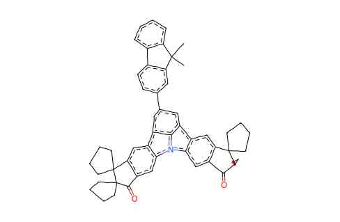 CC1(C)c2ccccc2-c2ccc(-c3cc4c5cc6c(cc5n5c7cc8c(cc7c(c3)c45)C3(CCCC3)C3(CCCC3)C8=O)C(=O)C3(CCCC3)C63CCCC3)cc21